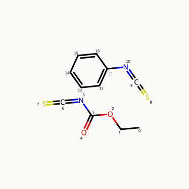 CCOC(=O)N=C=S.S=C=Nc1ccccc1